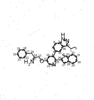 CCc1n[nH]c2ccc(-c3cc(OC[C@@H](N)Cc4ccccc4)cnc3-c3cc4ccccc4s3)cc12